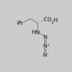 CC(C)C[C@@H](NN=[N+]=[N-])C(=O)O